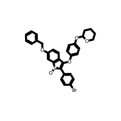 [O-][s+]1c(-c2ccc(Br)cc2)c(Oc2ccc(OC3CCCCO3)cc2)c2ccc(OCc3ccccc3)cc21